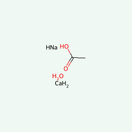 CC(=O)O.O.[CaH2].[NaH]